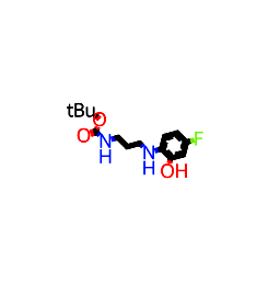 CC(C)(C)OC(=O)NCCCNc1ccc(F)cc1O